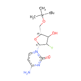 CC(C)(C)[Si](C)(C)OC[C@H]1O[C@@H](n2ccc(N)nc2=O)C(F)C1O